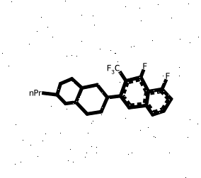 CCCC1CCC2CC(c3cc4cccc(F)c4c(F)c3C(F)(F)F)CCC2C1